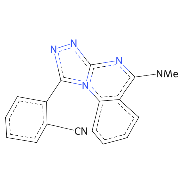 CNc1nc2nnc(-c3ccccc3C#N)n2c2ccccc12